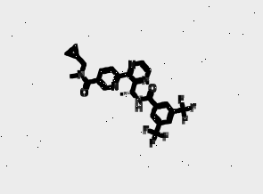 C[C@@H](NC(=O)c1cc(C(F)(F)F)cc(C(F)(F)F)c1)c1nccnc1-c1ccc(C(=O)N(C)CC2CC2)cn1